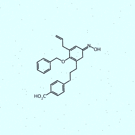 C=CCC1=CC(=NO)CC(CCCc2ccc(C(=O)O)cc2)=C1OCc1ccccc1